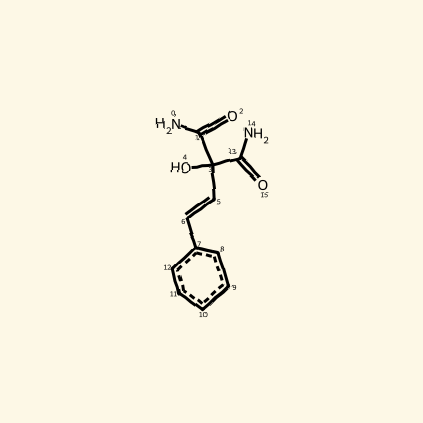 NC(=O)C(O)(C=Cc1ccccc1)C(N)=O